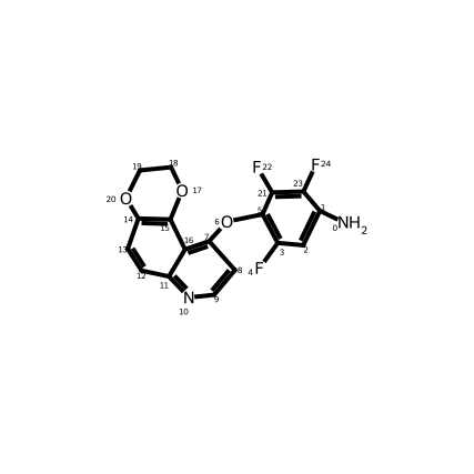 Nc1cc(F)c(Oc2ccnc3ccc4c(c23)OCCO4)c(F)c1F